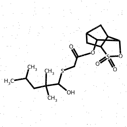 CC(C)CC(C)(C)C(O)SCC(=O)OC1C2CC3C1OS(=O)(=O)C3C2